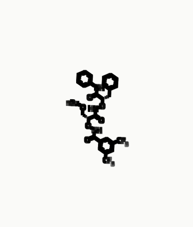 CCCCOC[C@@H](ONC(=O)c1cc(C(F)(F)F)cc(C(F)(F)F)c1)C(=O)NO[C@@H](Cc1ccccc1)C(=O)Nc1ccccc1